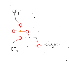 CCOC(=O)OCCOP(=O)(OCC(F)(F)F)OCC(F)(F)F